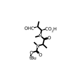 CC(C(=O)N(C)[C@H](C(=O)O)[C@H](C)C=O)N(C)C(=O)OC(C)(C)C